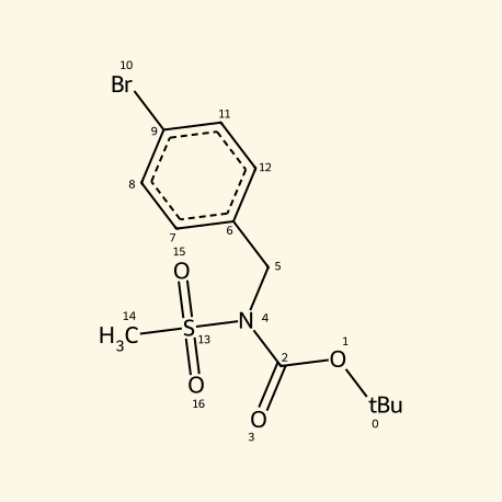 CC(C)(C)OC(=O)N(Cc1ccc(Br)cc1)S(C)(=O)=O